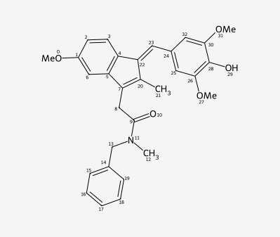 COc1ccc2c(c1)C(CC(=O)N(C)Cc1ccccc1)=C(C)C2=Cc1cc(OC)c(O)c(OC)c1